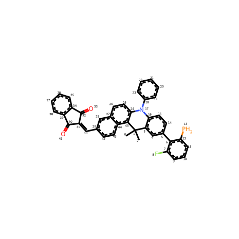 CC1(C)c2cc(-c3c(F)cccc3P)ccc2N(c2ccccc2)c2ccc3cc(C=C4C(=O)c5ccccc5C4=O)ccc3c21